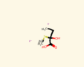 CCC(O)(SC)C(=O)O.[I-].[I-].[Zn+2]